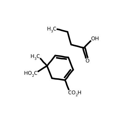 CC1(C(=O)O)C=CC=C(C(=O)O)C1.CCCC(=O)O